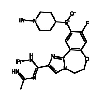 CC(=N)/N=C(\NC(C)C)c1cn2c(n1)-c1cc([S+]([O-])C3CCN(C(C)C)CC3)c(F)cc1OCC2